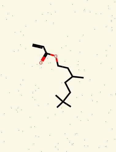 C=CC(=O)OCCC(C)CCC(C)(C)C